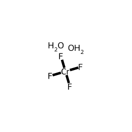 O.O.[F][Cr]([F])([F])[F]